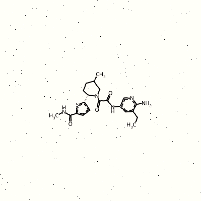 CCc1cc(NC(=O)C(=O)N2C[C@H](C)CC[C@H]2c2ccc(C(=O)NC)s2)cnc1N